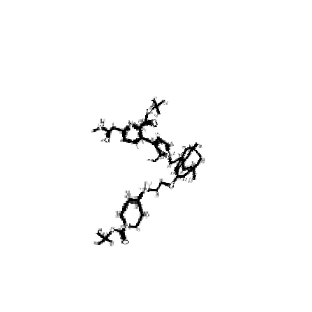 CNC(=O)Cc1ccc(-c2ccn(CC34CC5(C)CC(C)(C3)CC(OCCNC3CCN(C(=O)OC(C)(C)C)CC3)(C5)C4)c2C)c(C(=O)OC(C)(C)C)n1